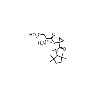 CC1(C)CCC(C)(C)C1NC(=O)C1(NC(=O)[C@@H](N)CC(=O)O)CC1